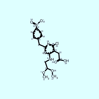 COC(CNc1nc(Cc2ccc([N+](=O)[O-])cc2)nc(Cl)c1CC(=O)O)OC